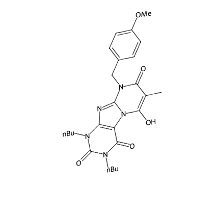 CCCCn1c(=O)c2c(nc3n(Cc4ccc(OC)cc4)c(=O)c(C)c(O)n23)n(CCCC)c1=O